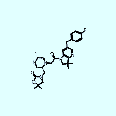 C[C@@H]1CN(CC(=O)N2CC(C)(C)c3ncc(Cc4ccc(F)cc4)cc32)[C@@H](CN2CC(C)(C)OC2=O)CN1